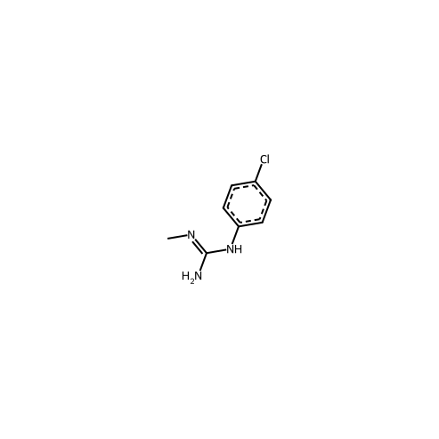 CN=C(N)Nc1ccc(Cl)cc1